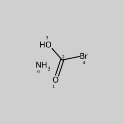 N.O=C(O)Br